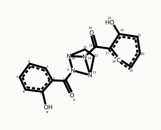 O=C(c1ccccc1O)N1N2CCN1N2C(=O)c1ccccc1O